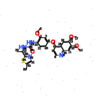 COc1cc(Oc2ccnc3cc(OC)c(OC)cc23)ccc1NC(=O)NC(C)c1ncc(C)s1